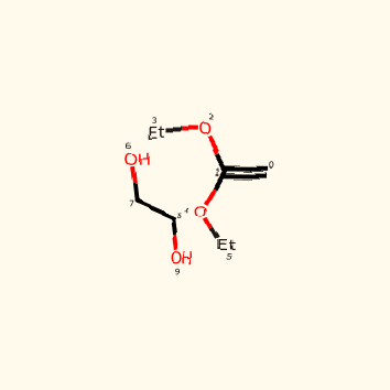 C=C(OCC)OCC.OCCO